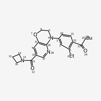 CCc1cc(N2CCOc3cc(C(=O)N4CCC4)cnc32)ccc1C(=O)C(C)CC